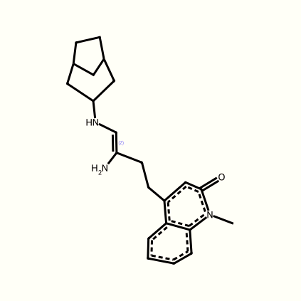 Cn1c(=O)cc(CC/C(N)=C/NC2CC3CCC(C3)C2)c2ccccc21